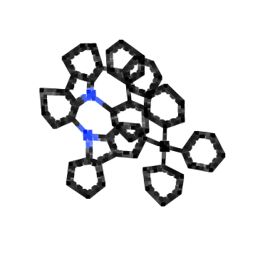 c1ccc(-c2ccccc2-n2c3c(-c4ccccc4)cccc3c3cccc(-n4c5ccccc5c5cc([Si](c6ccccc6)(c6ccccc6)c6ccccc6)ccc54)c32)cc1